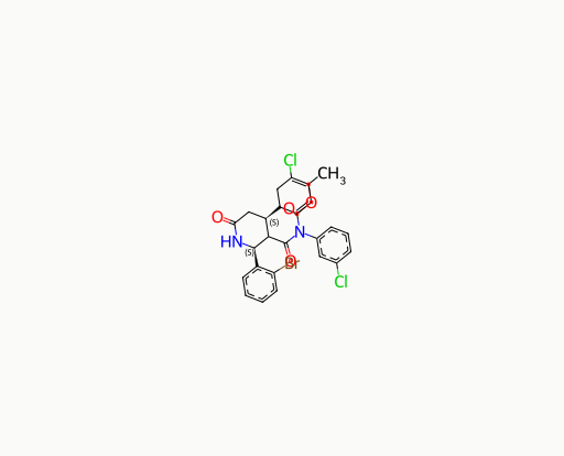 CCOC(=O)N(C(=O)C1[C@H](C2C=CC=C(Cl)C2)CC(=O)N[C@@H]1c1ccccc1Br)c1cccc(Cl)c1